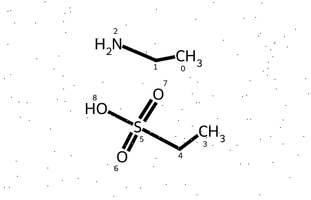 CCN.CCS(=O)(=O)O